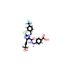 C[C@H](NC(=O)c1c(C#CC(C)(C)O)nc(Cl)n1Cc1ccc(C(F)(F)F)cc1)c1ccc(C(=O)O)cc1